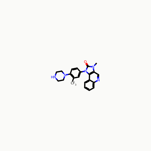 Cn1c(=O)n(-c2ccc(N3CCNCC3)c(C(F)(F)F)c2)c2c3ccccc3ncc21